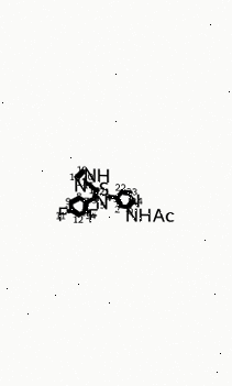 CC(=O)Nc1cc(-c2nc(-c3ccc(F)cc3F)c(-c3ncc[nH]3)s2)ccn1